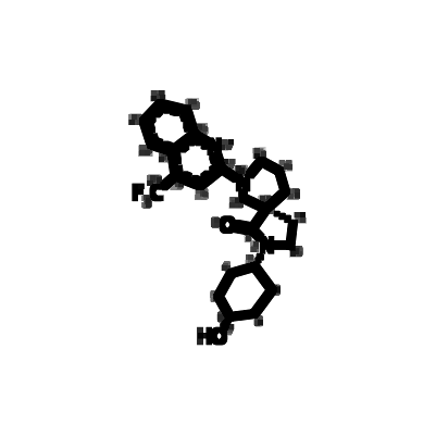 O=C1N([C@H]2CC[C@H](O)CC2)CC[C@]12CCCN(c1cc(C(F)(F)F)c3ccccc3n1)C2